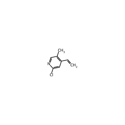 C=Cc1cc(Cl)ncc1C